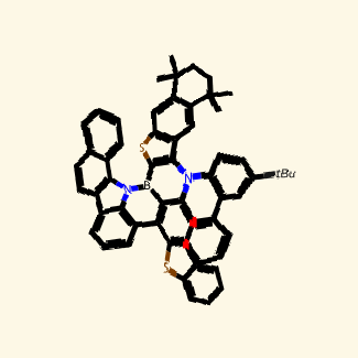 CC(C)(C)c1ccc(N2c3cc4c(sc5ccccc54)c4c3B(c3sc5cc6c(cc5c32)C(C)(C)CCC6(C)C)n2c3c-4cccc3c3ccc4ccccc4c32)c(-c2ccccc2)c1